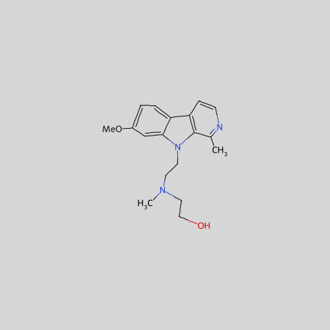 COc1ccc2c3ccnc(C)c3n(CCN(C)CCO)c2c1